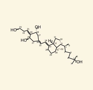 C[C@@H](CCCC(C)(C)O)[C@H]1CC[C@H]2/C(=C/C=C3C[C@@H](O)C(=CCCO)[C@H](O)C3)CCC[C@]12C